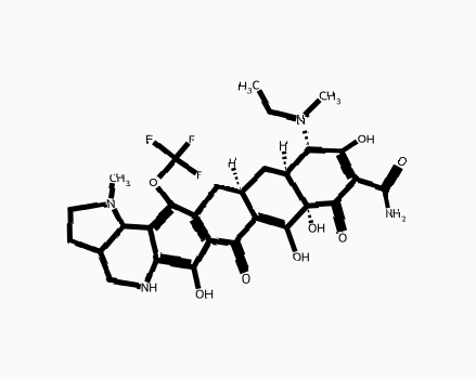 CCN(C)[C@@H]1C(O)=C(C(N)=O)C(=O)[C@@]2(O)C(O)=C3C(=O)c4c(O)c5c(c(OC(F)(F)F)c4C[C@H]3C[C@@H]12)C1C(CCN1C)CN5